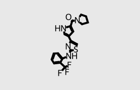 O=C(c1cc(-c2csc(Nc3ccccc3C(F)(F)F)n2)c[nH]1)N1CCCC1